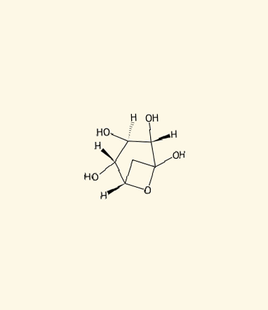 O[C@@H]1[C@@H](O)[C@H](O)C2(O)C[C@@H]1O2